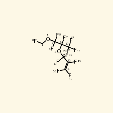 FCOC(F)(F)C(F)(OC(F)(F)C(F)=C(F)F)C(F)(F)F